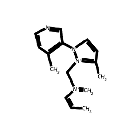 C=[N+](/C=C\C)C[n+]1c(C)ccn1-c1cnccc1C